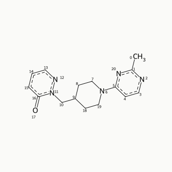 Cc1nccc(N2CCC(Cn3ncccc3=O)CC2)n1